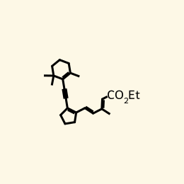 CCOC(=O)C=C(C)C=CC1=C(C#CC2=C(C)CCCC2(C)C)CCC1